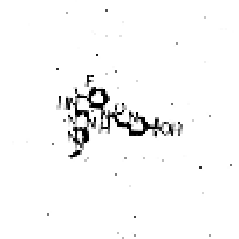 CCn1cc2ncc(N[C@@H](C)c3cc(NC(=O)Cc4ccc(C(C)(C)O)cn4)ccc3F)nc2n1